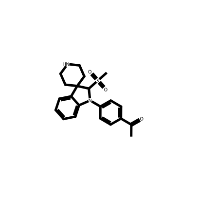 CC(=O)c1ccc(N2c3ccccc3C3(CCNCC3)C2S(C)(=O)=O)cc1